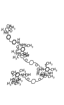 CSc1cc(C)c(NC(C)(C)CC(O)COCC2CCC(COCC(O)CNc3c(C)cc(SC)c(NC(C)(C)C)c3SC)CC2)c(SC)c1NCC(O)COCC1CCC(COCC(O)CC(C)(C)Nc2c(C)cc(SC)c(NC(=O)Nc3ccc(Cc4ccc(NC(=O)C(C)(C)C)cc4)cc3)c2SC)CC1